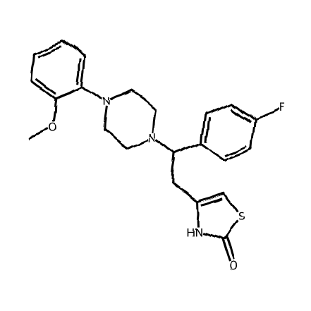 COc1ccccc1N1CCN(C(Cc2csc(=O)[nH]2)c2ccc(F)cc2)CC1